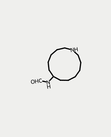 O=CNC1CCCCCCNCCCCC1